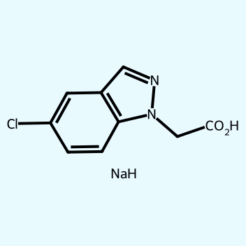 O=C(O)Cn1ncc2cc(Cl)ccc21.[NaH]